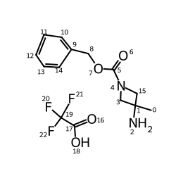 CC1(N)CN(C(=O)OCc2ccccc2)C1.O=C(O)C(F)(F)F